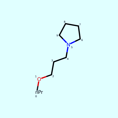 CCCOCCCN1CCCC1